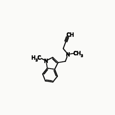 C#CCN(C)Cc1cn(C)c2ccccc12